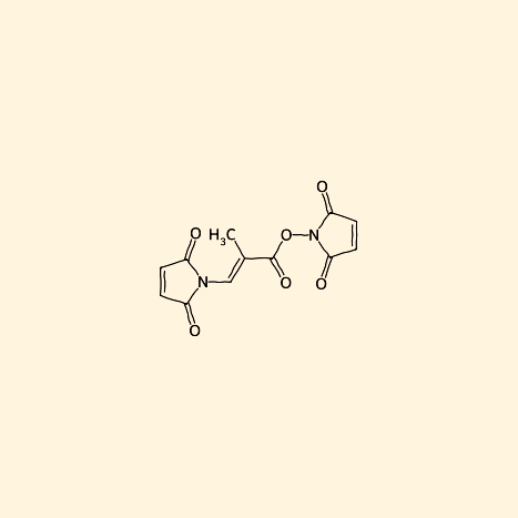 CC(=CN1C(=O)C=CC1=O)C(=O)ON1C(=O)C=CC1=O